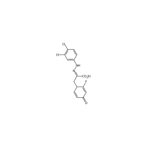 CCOC(=O)/C(CC1C=CC(=O)C=C1F)=N\Nc1ccc(Cl)c(Cl)c1